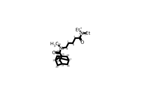 CCN(CC)C(=O)CCCCN(C)C(=O)C12CC3CC(CC(C3)C1)C2